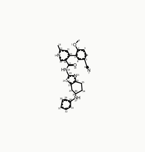 COc1ccc(C#N)cc1-c1cc(C)ncc1C(=O)Nc1nc2c(s1)C[C@H](Nc1ccccc1)CC2